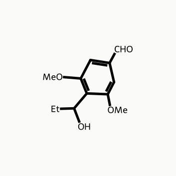 CCC(O)c1c(OC)cc(C=O)cc1OC